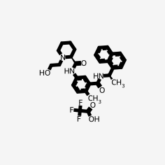 Cc1ccc(NC(=O)[C@@H]2CCCCN2CCO)cc1C(=O)N[C@H](C)c1cccc2ccccc12.O=C(O)C(F)(F)F